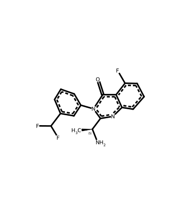 C[C@H](N)c1nc2cccc(F)c2c(=O)n1-c1cccc(C(F)F)c1